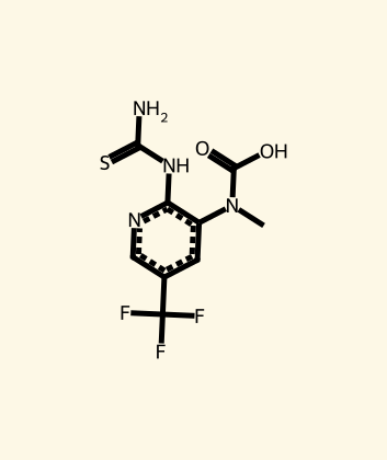 CN(C(=O)O)c1cc(C(F)(F)F)cnc1NC(N)=S